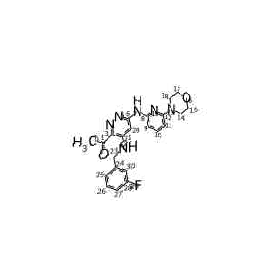 CC(=O)c1nnc(Nc2cccc(N3CCOCC3)n2)cc1NCc1cccc(F)c1